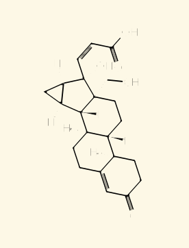 CC[C@]12CC[C@H]3[C@@H](CCC4=CC(=O)CC[C@@H]43)[C@@H]1[C@H]1C[C@H]1[C@@]2(O)/C=C\C(=O)O